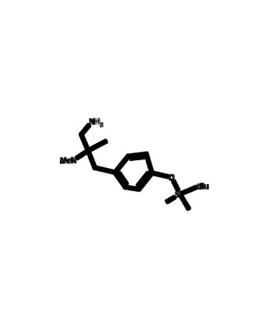 CNC(C)(CN)Cc1ccc(O[Si](C)(C)C(C)(C)C)cc1